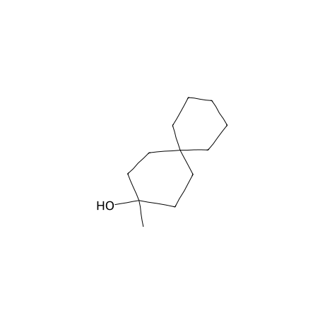 CC1(O)CCC2(CCCCC2)CC1